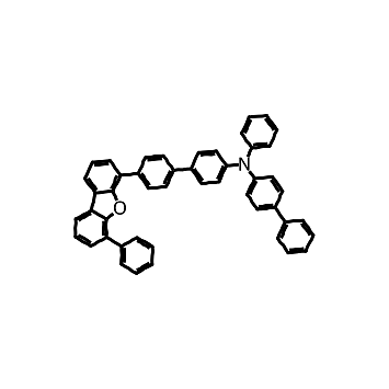 c1ccc(-c2ccc(N(c3ccccc3)c3ccc(-c4ccc(-c5cccc6c5oc5c(-c7ccccc7)cccc56)cc4)cc3)cc2)cc1